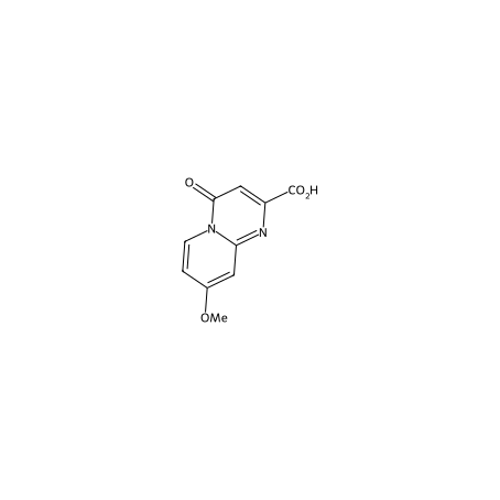 COc1ccn2c(=O)cc(C(=O)O)nc2c1